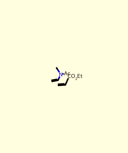 C=CC(=O)OCC.C=CN(C)C(C)=O